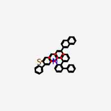 c1ccc(-c2ccccc2-c2c(-c3ccccc3)cccc2N(c2ccc(-c3ccc4ccccc4c3)cc2)c2ccc3sc4ccccc4c3c2)cc1